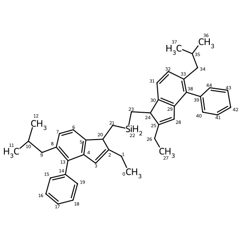 CCC1=Cc2c(ccc(CC(C)C)c2-c2ccccc2)C1C[SiH2]CC1C(CC)=Cc2c1ccc(CC(C)C)c2-c1ccccc1